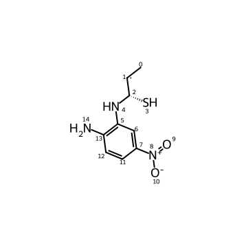 C[CH][C@H](S)Nc1cc([N+](=O)[O-])ccc1N